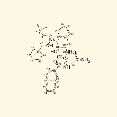 CC(C)(C)CCN(CC(O)C(Cc1ccccc1)NC(=O)[C@H](CC(N)=O)NC(=O)c1ccc2ccccc2n1)NCC1CCCCC1